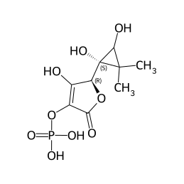 CC1(C)C(O)[C@]1(O)[C@H]1OC(=O)C(OP(=O)(O)O)=C1O